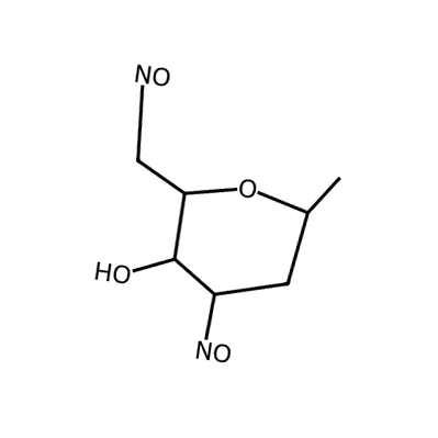 CC1CC(N=O)C(O)C(CN=O)O1